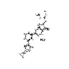 Cl.NC/C(=C\F)Cn1nc2cc(-c3cccc(-c4noc(C5CC5)n4)c3)ccn2c1=O